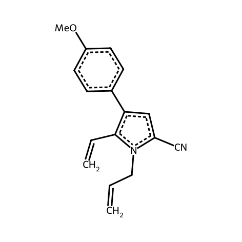 C=CCn1c(C#N)cc(-c2ccc(OC)cc2)c1C=C